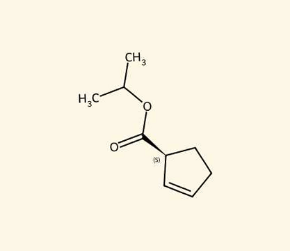 CC(C)OC(=O)[C@@H]1C=CCC1